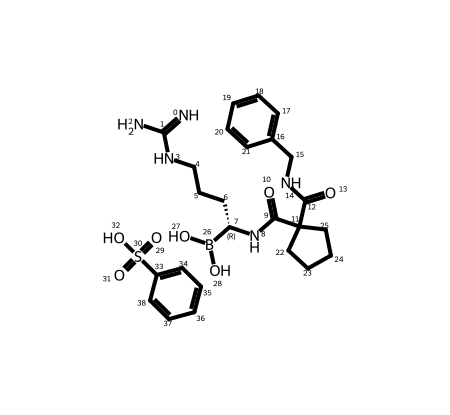 N=C(N)NCCC[C@H](NC(=O)C1(C(=O)NCc2ccccc2)CCCC1)B(O)O.O=S(=O)(O)c1ccccc1